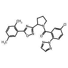 Cc1ccc(C)c(-c2nc(C3CCCN3C(=O)c3cc(Cl)ccc3-n3nccn3)no2)c1